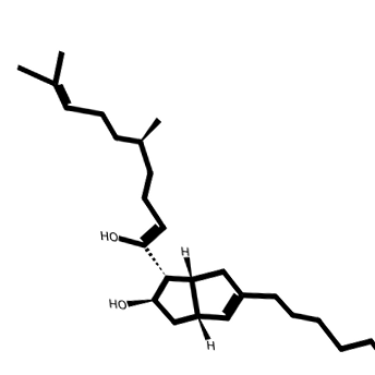 CC(C)=CCC[C@@H](C)CCC=C(O)[C@@H]1[C@@H]2CC(CCCCCO)=C[C@@H]2C[C@H]1O